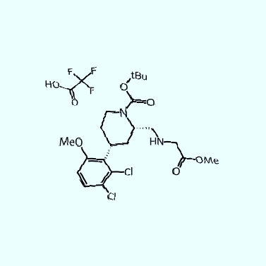 COC(=O)CNC[C@@H]1C[C@H](c2c(OC)ccc(Cl)c2Cl)CCN1C(=O)OC(C)(C)C.O=C(O)C(F)(F)F